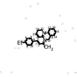 C=C(/C=C/c1ccc(CC)cc1)N(Cc1ccccc1)C1=NCCC=C1